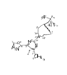 Cc1cc(-c2nnco2)nc(N2CCC(C(F)(F)F)CC2)n1